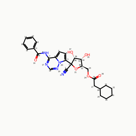 N#CC1(c2ccc3c(NC(=O)c4ccccc4)ncnn23)O[C@H](COC(=O)CC2CCCCC2)[C@@H](O)[C@H]1O